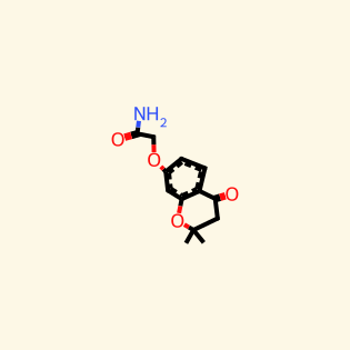 CC1(C)CC(=O)c2ccc(OCC(N)=O)cc2O1